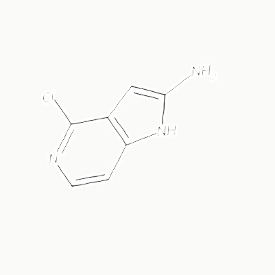 Nc1cc2c(Cl)nccc2[nH]1